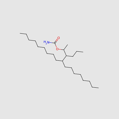 CCCCCCCCCC(CCCCCCCC)C(CCC)C(C)OC(N)=O